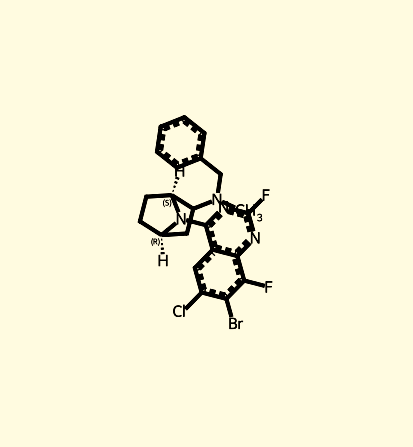 CN(Cc1ccccc1)C1C[C@H]2CC[C@@H]1N2c1nc(F)nc2c(F)c(Br)c(Cl)cc12